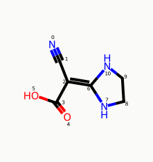 N#CC(C(=O)O)=C1NCCN1